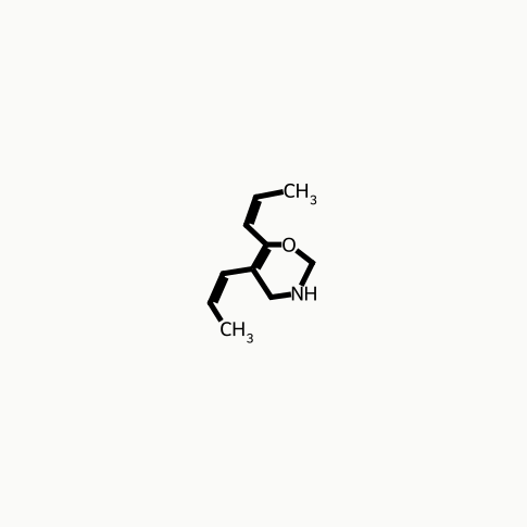 C/C=C\C1=C(/C=C\C)OCNC1